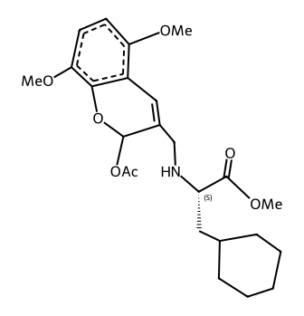 COC(=O)[C@H](CC1CCCCC1)NCC1=Cc2c(OC)ccc(OC)c2OC1OC(C)=O